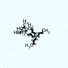 Br.CC(=O)O.CCCC[N+](CCCC)(CCCC)CCCC.[Zn]